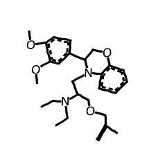 C=C(C)COCC(CN1c2ccccc2OCC1c1ccc(OC)c(OC)c1)N(CC)CC